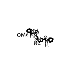 COc1cccc2[nH]c(C(=O)NCC(=O)N3CC(C(=O)Nc4ccccc4)CC3C#N)cc12